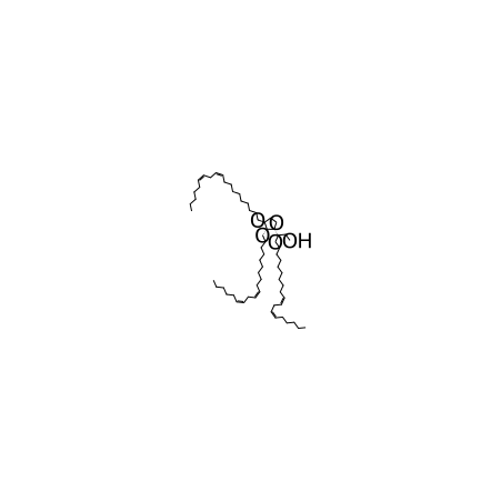 CCCCC/C=C\C/C=C\CCCCCCCCOC(CO)[C@H]1OC[C@H](OCCCCCCCC/C=C\C/C=C\CCCCC)[C@H]1OCCCCCCCC/C=C\C/C=C\CCCCC